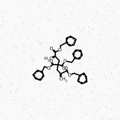 C=C(CC(CC(=C)C(=O)OCc1ccccc1)(C(=O)OCc1ccccc1)C(=O)OCc1ccccc1)C(=O)OCc1ccccc1